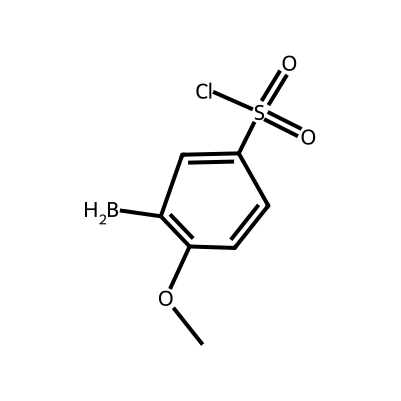 Bc1cc(S(=O)(=O)Cl)ccc1OC